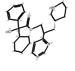 O=C(OCC(C[C@H]1CCCNC1)c1ccncn1)C(O)(c1ccccc1)C1CCCCC1